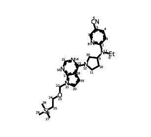 CCN(c1ccc(C#N)cn1)C1CCN(c2ncnc3c2ccn3COCC[Si](C)(C)C)C1